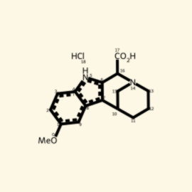 COc1ccc2[nH]c3c(c2c1)C1CCCN(C1)C3C(=O)O.Cl